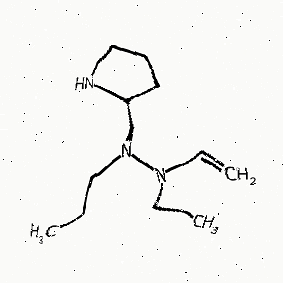 C=CN(CC)N(CCC)[C@@H]1CCCN1